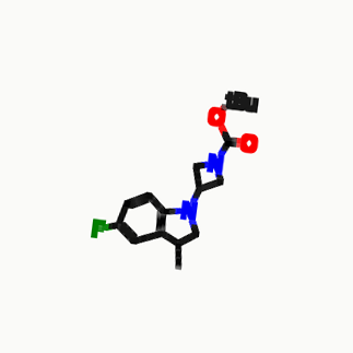 CC1CN(C2CN(C(=O)OC(C)(C)C)C2)c2ccc(F)cc21